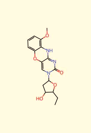 CCC1OC(n2cc3c(nc2=O)Nc2c(OC)cccc2O3)CC1O